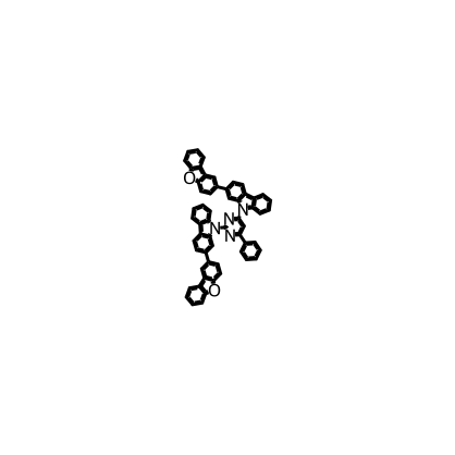 c1ccc(-c2cc(-n3c4ccccc4c4ccc(-c5ccc6oc7ccccc7c6c5)cc43)nc(-n3c4ccccc4c4ccc(-c5ccc6oc7ccccc7c6c5)cc43)n2)cc1